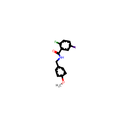 COc1ccc(CNC(=O)c2cc(I)ccc2F)cc1